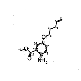 C=CCCCOc1ccc(N)c(C(=O)OC)c1